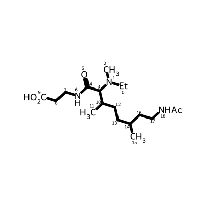 CCN(C)C(C(=O)NCCC(=O)O)C(C)CCC(C)CCNC(C)=O